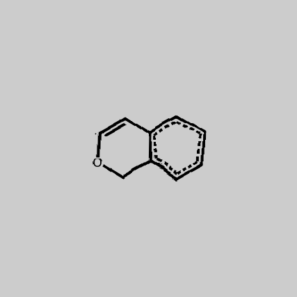 [C]1=Cc2ccccc2CO1